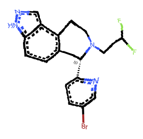 FC(F)CN1CCc2c(ccc3[nH]ncc23)[C@H]1c1ccc(Br)cn1